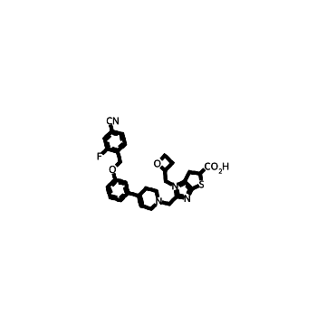 N#Cc1ccc(COc2cccc(C3=CCN(Cc4nc5c(n4CC4CCO4)CC(C(=O)O)S5)CC3)c2)c(F)c1